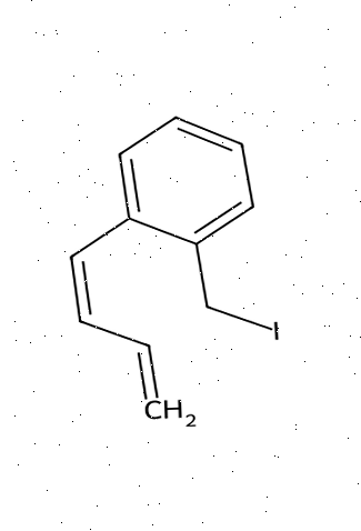 C=C/C=C\c1ccccc1CI